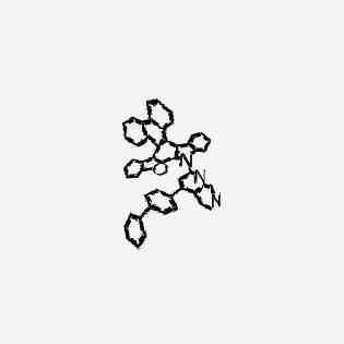 c1ccc(-c2ccc(-c3cc(-n4c5ccccc5c5c6c7ccccc7c7ccccc7c6c6c7ccccc7oc6c54)nc4cnccc34)cc2)cc1